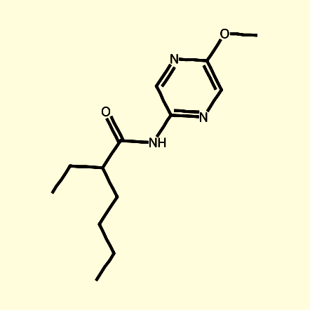 CCCCC(CC)C(=O)Nc1cnc(OC)cn1